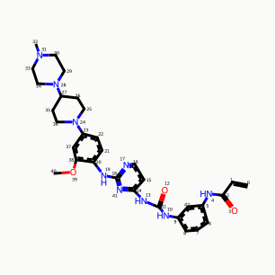 C=CC(=O)Nc1cccc(NC(=O)Nc2ccnc(Nc3ccc(N4CCC(N5CCN(C)CC5)CC4)cc3OC)n2)c1